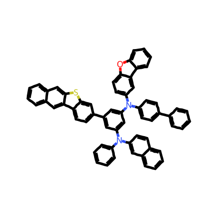 c1ccc(-c2ccc(N(c3cc(-c4ccc5c(c4)sc4cc6ccccc6cc45)cc(N(c4ccccc4)c4ccc5ccccc5c4)c3)c3ccc4oc5ccccc5c4c3)cc2)cc1